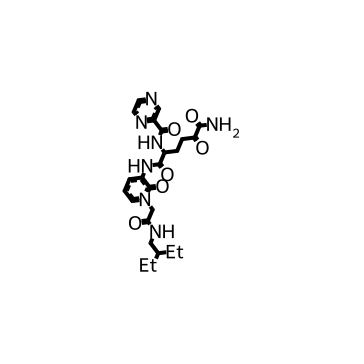 CCC(CC)CNC(=O)Cn1cccc(NC(=O)C(CCC(=O)C(N)=O)NC(=O)c2cnccn2)c1=O